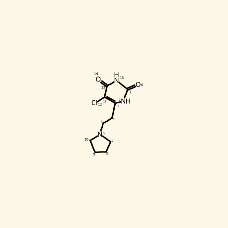 O=c1[nH]c(CCN2CCCC2)c(Cl)c(=O)[nH]1